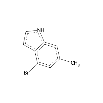 Cc1cc(Br)c2cc[nH]c2c1